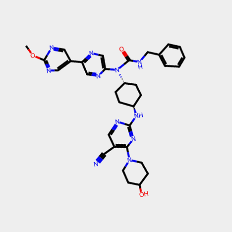 COc1ncc(-c2cnc(N(C(=O)NCc3ccccc3)[C@H]3CC[C@H](Nc4ncc(C#N)c(N5CCC(O)CC5)n4)CC3)cn2)cn1